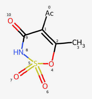 CC(=O)C1=C(C)OS(=O)(=O)NC1=O